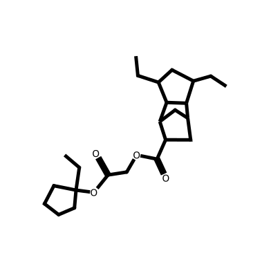 CCC1CC(CC)C2C3CC(CC3C(=O)OCC(=O)OC3(CC)CCCC3)C12